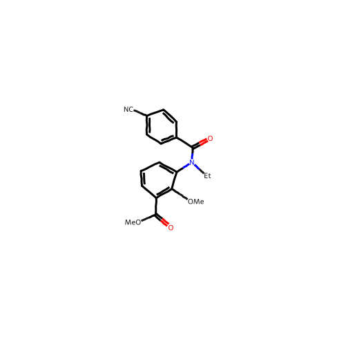 CCN(C(=O)c1ccc(C#N)cc1)c1cccc(C(=O)OC)c1OC